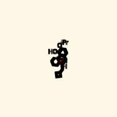 CC(C)Oc1ccc2c(c1O)[C@@]13CCCC[C@@]1(O)[C@@H](C2)N(CC1CCC1)CC3